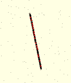 S=S=S=S=S=S=S=S=S=S=S=S=S=S=S=S=S=S=S=S=S=S=S=S=S=S=S=S=S=S=S=S=S=S=S=S=S=S=S=S=S=S=S=S=S=S=S=S=S=S=S=S=S=S=S=S=S=S=S=S=S=S=S=S=S